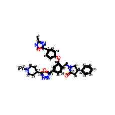 Cc1noc(-c2ccc(Oc3cc(-c4nnc(C5CCN(C(C)C)CC5)o4)ccc3CN3C[C@H](c4ccccc4)CC3=O)cc2)n1